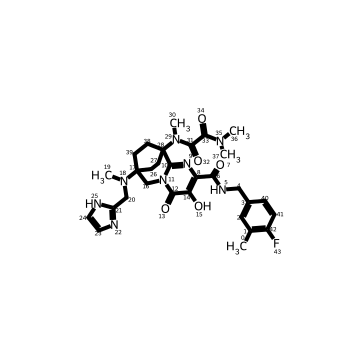 Cc1cc(CNC(=O)c2nc3n(c(=O)c2O)CC2(N(C)Cc4ncc[nH]4)CCC3(N(C)C(=O)C(=O)N(C)C)CC2)ccc1F